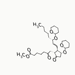 CCCCC[C@@H](/C=C/[C@H]1[C@H](OC2CCCCO2)CC(=O)[C@@H]1CC(=O)CCCCC(=O)OC)OC1CCCCO1